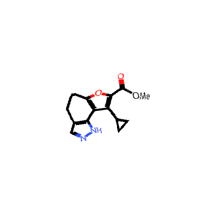 COC(=O)c1oc2c(c1C1CC1)-c1[nH]ncc1CC2